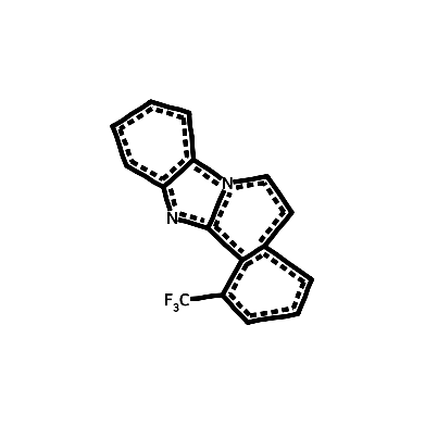 FC(F)(F)c1cccc2ccn3c4ccccc4nc3c12